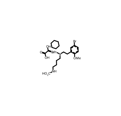 C1CCCCC1.CCCN(CCCCNC(=O)O)CCc1cc(Br)ccc1OC.O=C(O)C(=O)O